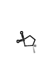 C[C@H]1CCS(=O)(=O)C1